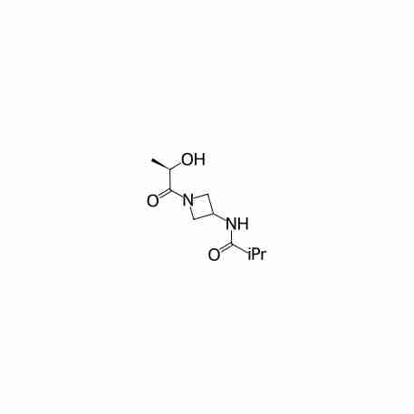 CC(C)C(=O)NC1CN(C(=O)[C@@H](C)O)C1